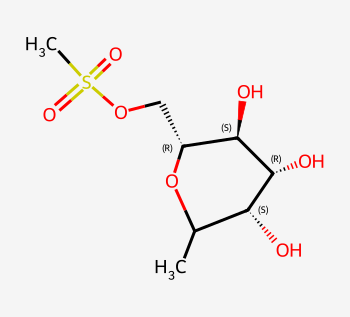 CC1O[C@H](COS(C)(=O)=O)[C@@H](O)[C@H](O)[C@@H]1O